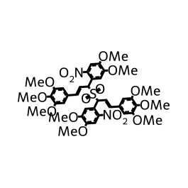 COc1cc(C(C=Cc2cc(OC)c(OC)c(OC)c2)S(=O)(=O)C(C=Cc2cc(OC)c(OC)c(OC)c2)c2cc(OC)c(OC)cc2[N+](=O)[O-])c([N+](=O)[O-])cc1OC